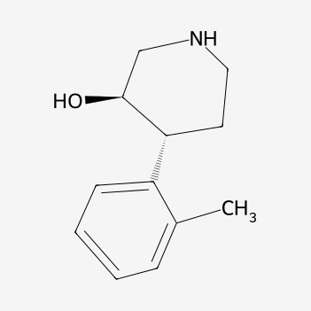 Cc1ccccc1[C@H]1CCNC[C@@H]1O